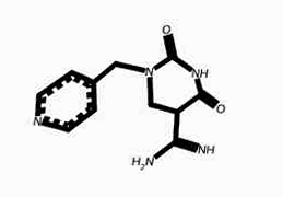 N=C(N)C1CN(Cc2ccncc2)C(=O)NC1=O